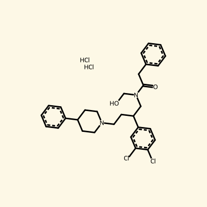 Cl.Cl.O=C(Cc1ccccc1)N(CO)CC(CCN1CCC(c2ccccc2)CC1)c1ccc(Cl)c(Cl)c1